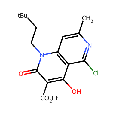 CCOC(=O)c1c(O)c2c(Cl)nc(C)cc2n(CCC(C)(C)C)c1=O